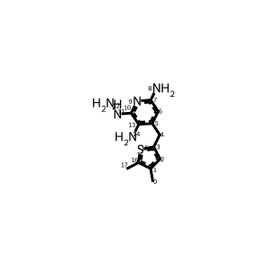 Cc1cc(Cc2cc(N)nc(NN)c2N)sc1C